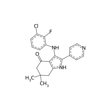 CC1(C)CC(=O)c2c([nH]c(-c3ccncc3)c2Nc2cccc(Cl)c2F)C1